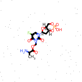 CC(N)C(=O)OCn1c(=O)c(F)cn([C@H]2C[C@@H]3OP(=O)(O)OC[C@H]3O2)c1=O